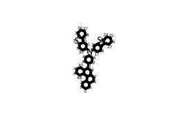 c1ccc2c(c1)ccc1cc(-c3ccc(N(c4ccc5c(c4)sc4ccccc45)c4ccc5sc6ccccc6c5c4)cc3)c3ccccc3c12